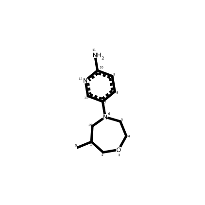 CC1COCCN(c2ccc(N)nc2)C1